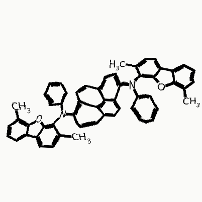 Cc1ccc2c(oc3c(C)cccc32)c1N(c1ccccc1)c1ccc2ccc3c(N(c4ccccc4)c4c(C)ccc5c4oc4c(C)cccc45)ccc4ccc1c2c43